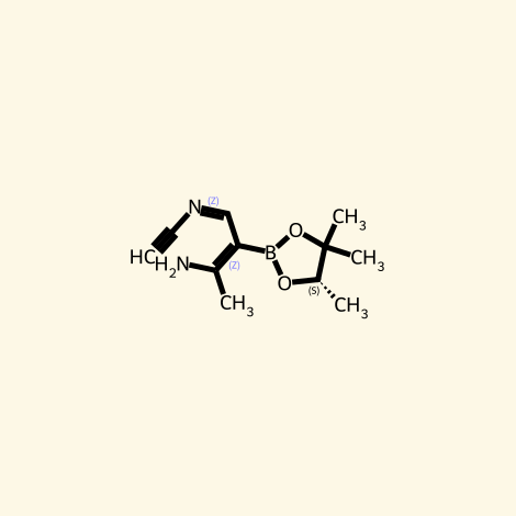 C#C/N=C\C(B1O[C@@H](C)C(C)(C)O1)=C(\C)N